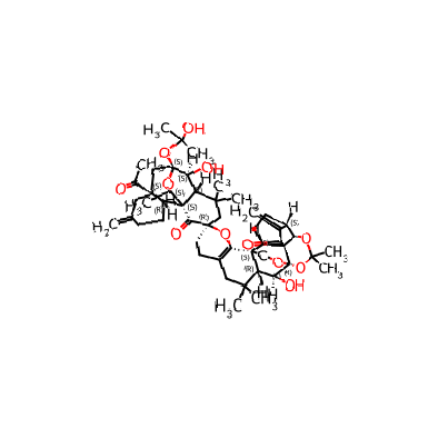 C=C1CC[C@@H]2[C@](C(C)=O)(C1)C[C@@]1(OC(C)(C)O)O[C@@H](C)[C@]23C(=O)[C@@]2(CCC4=C(O2)[C@@]25CO[C@]6(OC(C)(C)OC7[C@H]8CC[C@@H]2C76C(=O)C8=C)[C@@H](O)[C@@H]5C(C)(C)C4)CC(C)(C)[C@H]3[C@@H]1O